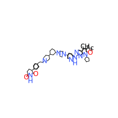 CC(=O)c1c(C)c2cnc(Nc3ccc(N4CCN(C5CCCC(C6CCN(CCc7ccc(C8CCC(=O)NC8=O)cc7)CC6)C5)CC4)cn3)nc2n(C2CCCC2)c1=O